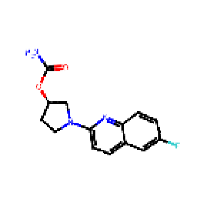 NC(=O)O[C@@H]1CCN(c2ccc3cc(F)ccc3n2)C1